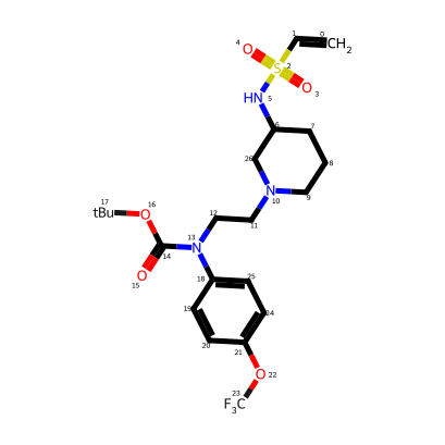 C=CS(=O)(=O)NC1CCCN(CCN(C(=O)OC(C)(C)C)c2ccc(OC(F)(F)F)cc2)C1